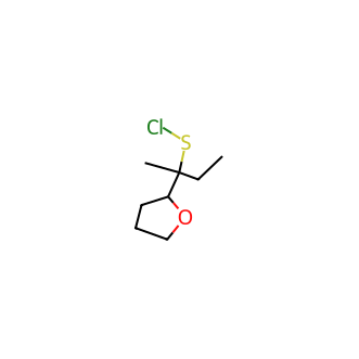 CCC(C)(SCl)C1CCCO1